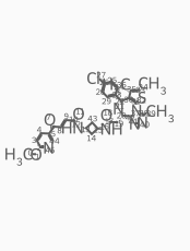 COc1ccc(C(=O)/C=C/C(=O)N[C@H]2C[C@H](NC(=O)C[C@@H]3N=C(c4ccc(Cl)cc4)c4c(sc(C)c4C)-n4c(C)nnc43)C2)cn1